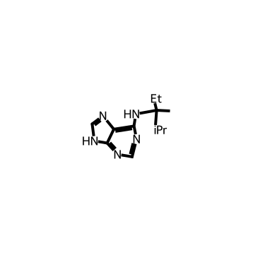 CCC(C)(Nc1ncnc2[nH]cnc12)C(C)C